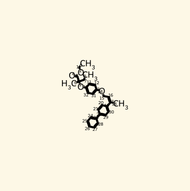 CCOC(=O)C(C)(CC)Oc1ccc(OC/C=C(/C)c2ccc(-c3ccccc3)cc2)cc1